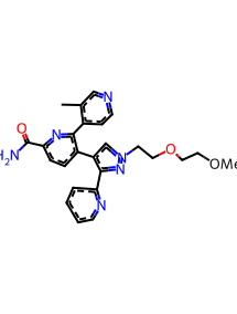 COCCOCCn1cc(-c2ccc(C(N)=O)nc2-c2ccncc2C)c(-c2ccccn2)n1